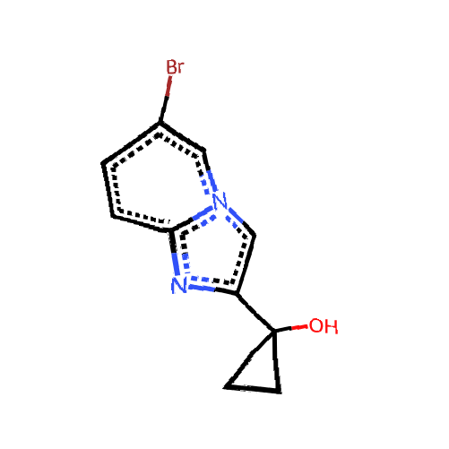 OC1(c2cn3cc(Br)ccc3n2)CC1